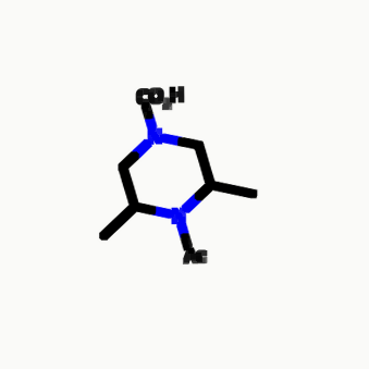 CC(=O)N1C(C)CN(C(=O)O)CC1C